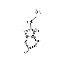 CCNc1nc2cc(Br)cnc2[nH]1